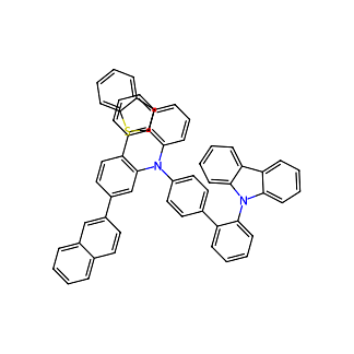 c1ccc(-c2ccc(-c3ccc4ccccc4c3)cc2N(c2ccc(-c3ccccc3-n3c4ccccc4c4ccccc43)cc2)c2cccc3c2sc2ccccc23)cc1